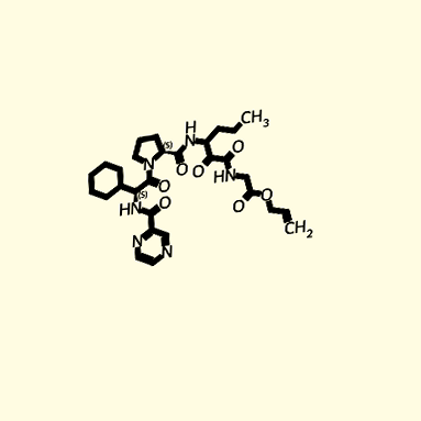 C=CCOC(=O)CNC(=O)C(=O)C(CCC)NC(=O)[C@@H]1CCCN1C(=O)[C@@H](NC(=O)c1cnccn1)C1CCCCC1